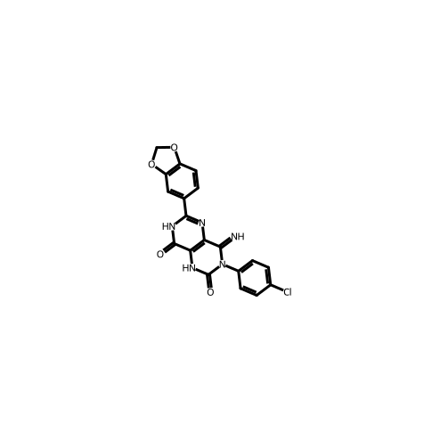 N=c1c2nc(-c3ccc4c(c3)OCO4)[nH]c(=O)c2[nH]c(=O)n1-c1ccc(Cl)cc1